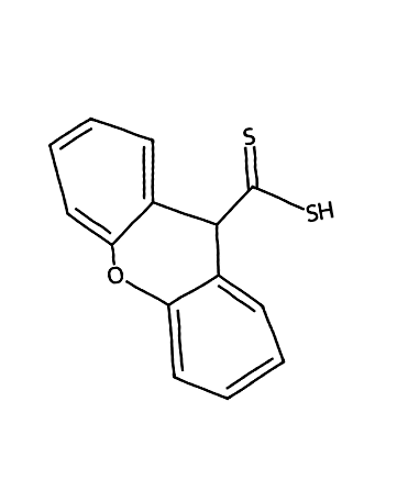 S=C(S)C1c2ccccc2Oc2ccccc21